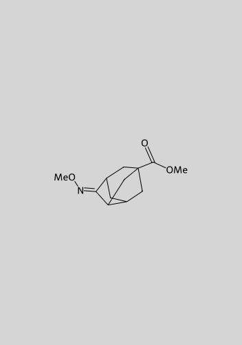 CO/N=C1\C2CC3CC(C(=O)OC)(C2)CC13